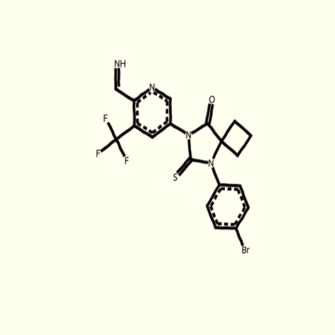 N=Cc1ncc(N2C(=O)C3(CCC3)N(c3ccc(Br)cc3)C2=S)cc1C(F)(F)F